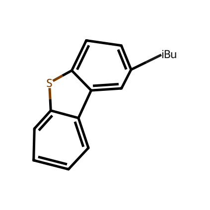 CCC(C)c1ccc2sc3ccccc3c2c1